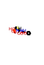 COP(=O)(O)C1N2C(=O)C(NC(=O)COc3ccccc3)[C@H]2SC1(C)C